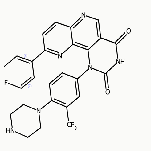 C/C=C(\C=C/F)c1ccc2ncc3c(=O)[nH]c(=O)n(-c4ccc(N5CCNCC5)c(C(F)(F)F)c4)c3c2n1